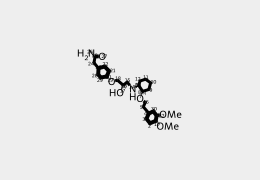 COc1ccc(CCO[C@H]2CCCC[C@@H]2NC[C@H](O)COc2ccc(CC(N)=O)cc2)cc1OC